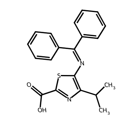 CC(C)c1nc(C(=O)O)sc1N=C(c1ccccc1)c1ccccc1